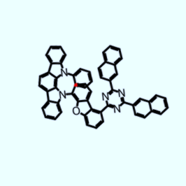 c1ccc(-n2c3ccccc3c3ccc4c5ccccc5n(-c5cccc6c5oc5cccc(-c7nc(-c8ccc9ccccc9c8)nc(-c8ccc9ccccc9c8)n7)c56)c4c32)cc1